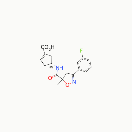 CC1(C(=O)N[C@@H]2CC=C(C(=O)O)C2)CC(c2cccc(F)c2)=NO1